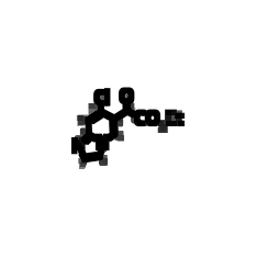 CCOC(=O)C(=O)c1cn2ccnc2cc1Cl